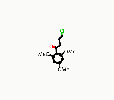 COc1cc(OC)c(C(=O)CCCCl)c(OC)c1